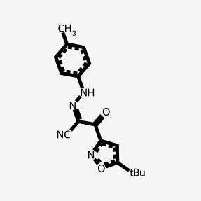 Cc1ccc(NN=C(C#N)C(=O)c2cc(C(C)(C)C)on2)cc1